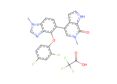 Cn1cc(-c2ccc3c(ncn3C)c2Oc2ccc(F)cc2F)c2cc[nH]c2c1=O.O=C(O)C(F)(F)F